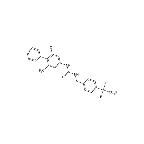 O=C(NCc1ccc(C(F)(F)C(=O)O)cc1)Nc1cc(Cl)c(-c2ccccc2)c(C(F)(F)F)c1